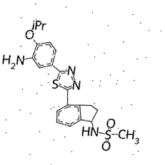 CC(C)Oc1ccc(-c2nnc(-c3cccc4c3CCC4NS(C)(=O)=O)s2)cc1N